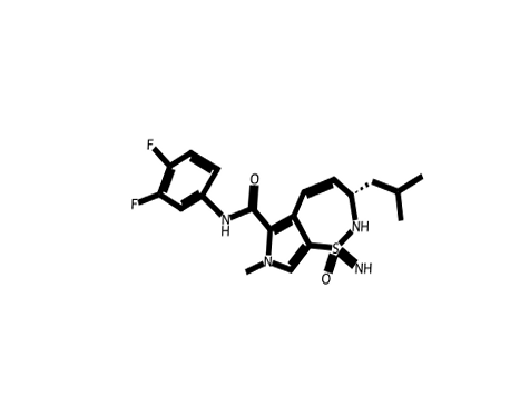 CC(C)C[C@H]1C=Cc2c(cn(C)c2C(=O)Nc2ccc(F)c(F)c2)S(=N)(=O)N1